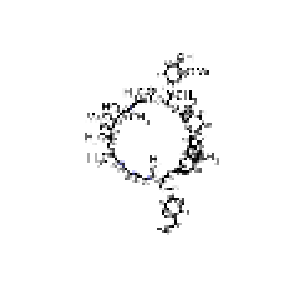 CO[C@@H]1C[C@H](C[C@@H](C)[C@@H]2CC(=O)[C@H](C)/C=C(\C)[C@@H](O)[C@@H](OC)C(=O)[C@H](C)C[C@H](C)/C=C/C=C/C=C(\C)C(OCC3COC(CO)CO3)C[C@@H]3CC[C@@H](C)[C@@](O)(O3)C(=O)C(=O)N3CCCCC3C(=O)O2)CC[C@H]1O